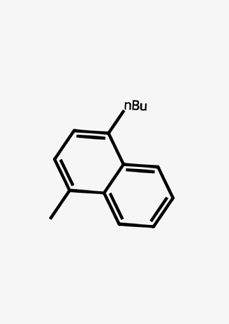 CCCCc1ccc(C)c2ccccc12